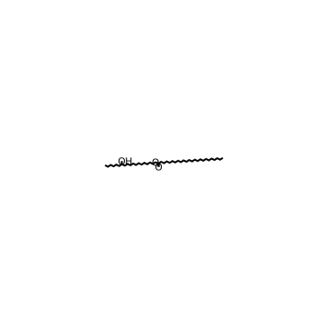 CCCCCCCCCCCCCCCCCCCCCCCC(=O)OCCCCCCCCCCCC(O)CCCCCC